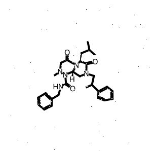 CC(C)C[C@H]1C(=O)N(CC(C)c2ccccc2)C[C@H]2N1C(=O)CN(C)N2C(=O)NCc1ccccc1